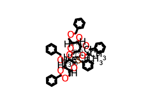 C[SiH](C)[C@]1(O[C@H]2[C@@H](OCc3ccccc3)[C@@H]3OC(c4ccccc4)OC[C@H]3O[C@@H]2Sc2ccccc2)O[C@@H]2COC(c3ccccc3)O[C@H]2[C@H](OCc2ccccc2)[C@@H]1OC(C)(C)C